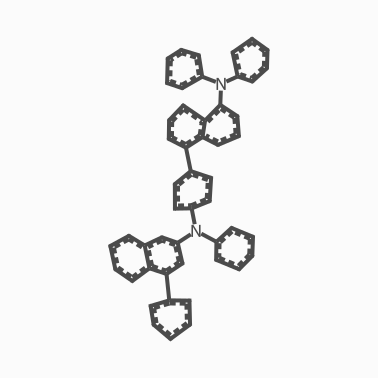 c1ccc(-c2cc(N(c3ccccc3)c3ccc(-c4cccc5c(N(c6ccccc6)c6ccccc6)cccc45)cc3)cc3ccccc23)cc1